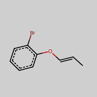 CC=COc1ccccc1Br